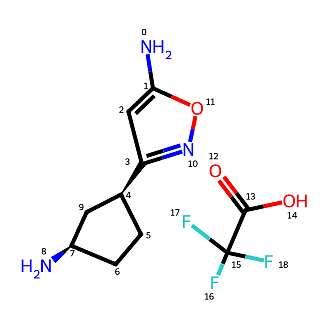 Nc1cc([C@H]2CC[C@@H](N)C2)no1.O=C(O)C(F)(F)F